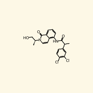 CC(C(=O)Nc1cccc2c(=O)n([C@@H](C)CO)ccc12)c1ccc(Cl)c(Cl)c1